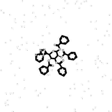 O=C(OC1OC(c2nnc3ncccn23)[C@@H](OC(=O)c2ccccc2)C(OC(=O)c2ccccc2)[C@@H]1OC(=O)c1ccccc1)c1ccccc1